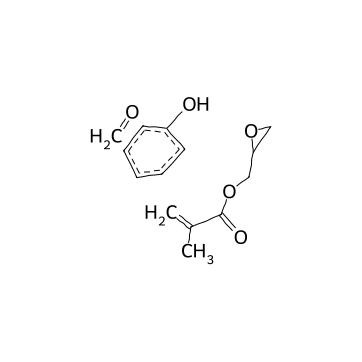 C=C(C)C(=O)OCC1CO1.C=O.Oc1ccccc1